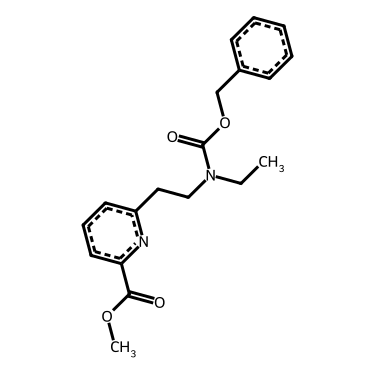 CCN(CCc1cccc(C(=O)OC)n1)C(=O)OCc1ccccc1